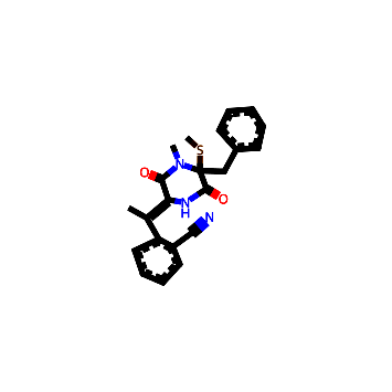 CSC1(Cc2ccccc2)C(=O)NC(=C(C)c2ccccc2C#N)C(=O)N1C